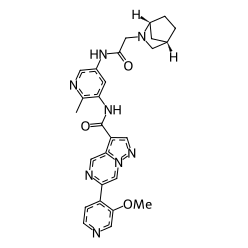 COc1cnccc1-c1cn2ncc(C(=O)Nc3cc(NC(=O)CN4C[C@H]5CC[C@@H]4C5)cnc3C)c2cn1